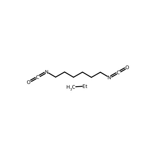 CCC.O=C=NCCCCCCN=C=O